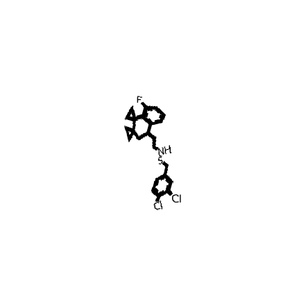 Fc1cccc2c1C1(CC1)C1(CC1)CC2CCNSCc1ccc(Cl)c(Cl)c1